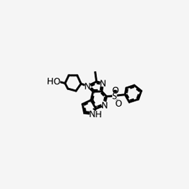 Cc1nc2c(S(=O)(=O)c3ccccc3)nc3[nH]ccc3c2n1C1CCC(O)CC1